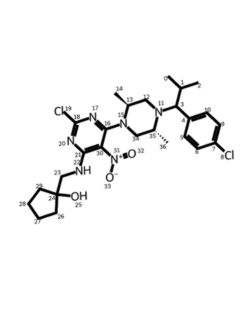 CC(C)C(c1ccc(Cl)cc1)N1C[C@H](C)N(c2nc(Cl)nc(NCC3(O)CCCC3)c2[N+](=O)[O-])C[C@H]1C